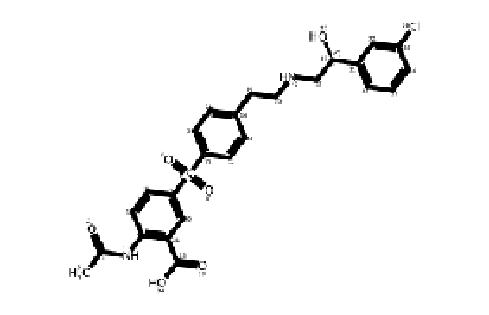 CC(=O)Nc1ccc(S(=O)(=O)c2ccc(CCNC[C@@H](O)c3cccc(Cl)c3)cc2)cc1C(=O)O